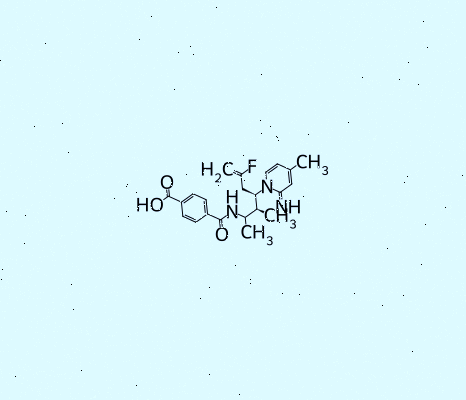 C=C(F)C[C@H]([C@@H](C)C(C)NC(=O)c1ccc(C(=O)O)cc1)n1ccc(C)cc1=N